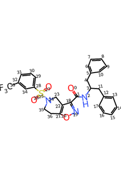 O=C(NC(Cc1ccccc1)Cc1ccccc1)c1noc2c1CN(S(=O)(=O)c1cccc(C(F)(F)F)c1)CC2